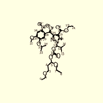 CCOCCC(OCC)OC(=O)OC(C(C)C)n1nc(C(=O)OCC)c(C(=O)c2cc(OC(C)C)c(OC)cc2[N+](=O)[O-])n1